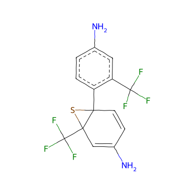 NC1=CC2(C(F)(F)F)SC2(c2ccc(N)cc2C(F)(F)F)C=C1